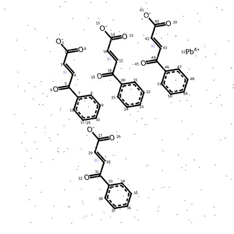 O=C([O-])/C=C/C(=O)c1ccccc1.O=C([O-])/C=C/C(=O)c1ccccc1.O=C([O-])/C=C/C(=O)c1ccccc1.O=C([O-])/C=C/C(=O)c1ccccc1.[Pb+4]